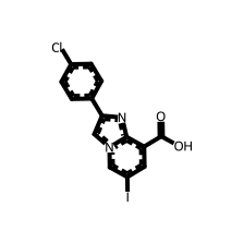 O=C(O)c1cc(I)cn2cc(-c3ccc(Cl)cc3)nc12